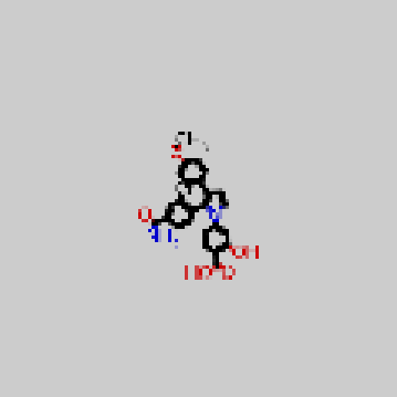 COc1ccc(-c2ccn(-c3ccc(C(=O)O)c(O)c3)c2-c2ccc(C(N)=O)cc2C)cc1